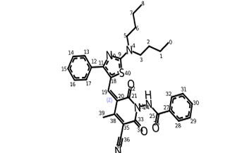 CCCCN(CCCC)c1nc(-c2ccccc2)c(/C=C2\C(=O)N(NC(=O)c3ccccc3)C(=O)C(C#N)=C2C)s1